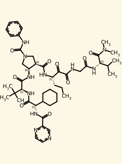 CCC[C@H](NC(=O)[C@@H]1CN(C(=O)Nc2ccccc2)C[C@@H]1NC(=O)[C@@H](NC(=O)[C@@H](NC(=O)c1cnccn1)C1CCCCC1)C(C)(C)C)C(=O)C(=O)NCC(=O)N[C@H](C(=O)N(C)C)C(C)C